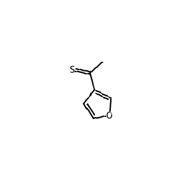 CC(=S)c1ccoc1